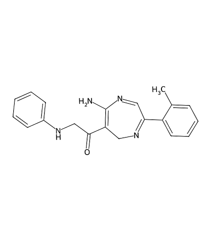 Cc1ccccc1C1=NCC(C(=O)CNc2ccccc2)=C(N)N=C1